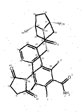 NC(=O)c1c(F)c(F)cc(C[CH][C@@H]2C[C@H]3CC[C@@H](C2)N3C(=O)c2cccc(CN3C(=O)CCC3=O)c2)c1F